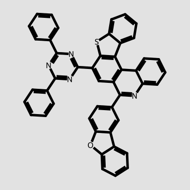 c1ccc(-c2nc(-c3ccccc3)nc(-c3cc4c(-c5ccc6oc7ccccc7c6c5)nc5ccccc5c4c4c3sc3ccccc34)n2)cc1